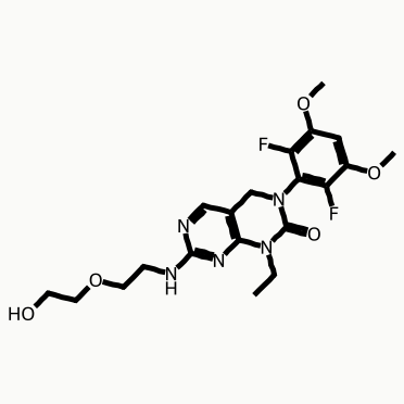 CCN1C(=O)N(c2c(F)c(OC)cc(OC)c2F)Cc2cnc(NCCOCCO)nc21